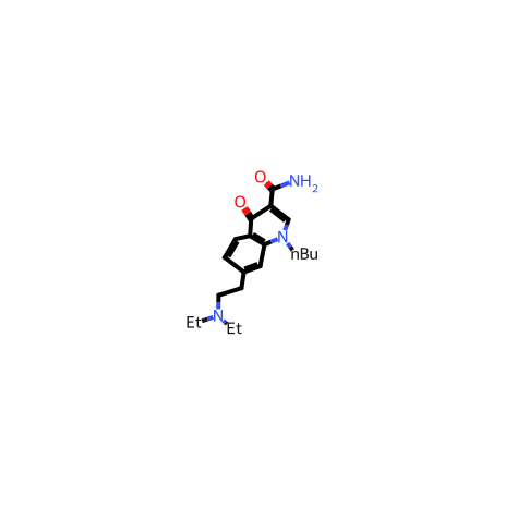 CCCCn1cc(C(N)=O)c(=O)c2ccc(CCN(CC)CC)cc21